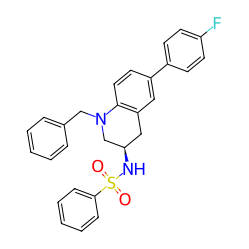 O=S(=O)(N[C@@H]1Cc2cc(-c3ccc(F)cc3)ccc2N(Cc2ccccc2)C1)c1ccccc1